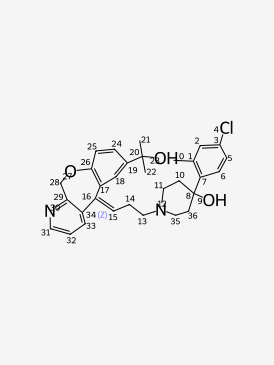 Cc1cc(Cl)ccc1C1(O)CCN(CC/C=C2\c3cc(C(C)(C)O)ccc3OCc3ncccc32)CC1